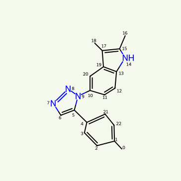 Cc1ccc(-c2cnnn2-c2ccc3[nH]c(C)c(C)c3c2)cc1